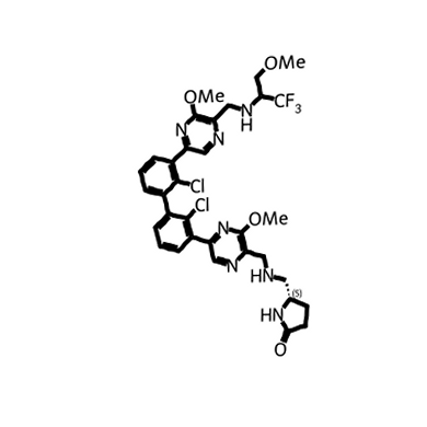 COCC(NCc1ncc(-c2cccc(-c3cccc(-c4cnc(CNC[C@@H]5CCC(=O)N5)c(OC)n4)c3Cl)c2Cl)nc1OC)C(F)(F)F